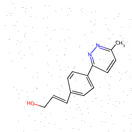 Cc1ccc(-c2ccc(C=CCO)cc2)nn1